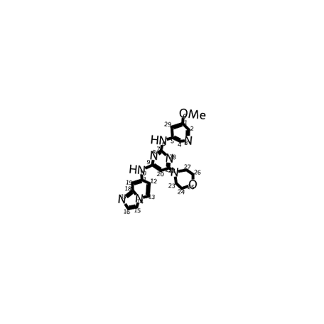 COc1cncc(Nc2nc(Nc3ccn4ccnc4c3)cc(N3CCOCC3)n2)c1